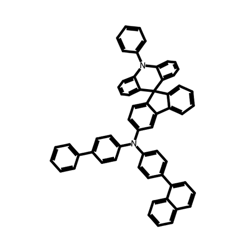 c1ccc(-c2ccc(N(c3ccc(-c4cccc5ccccc45)cc3)c3ccc4c(c3)-c3ccccc3C43c4ccccc4N(c4ccccc4)c4ccccc43)cc2)cc1